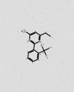 Cc1cc(CI)nc(-c2ccccc2C(F)(F)F)n1